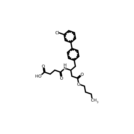 CCCCOC(=O)CC(Cc1ccc(-c2cccc(Cl)c2)cc1)NC(=O)CCC(=O)O